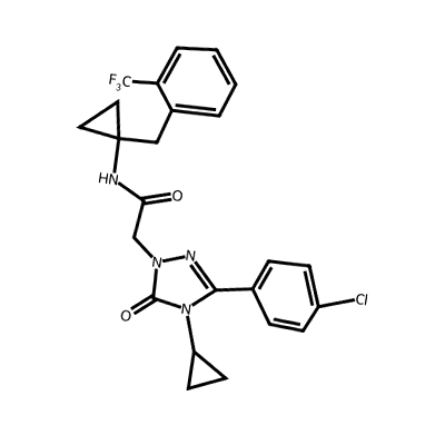 O=C(Cn1nc(-c2ccc(Cl)cc2)n(C2CC2)c1=O)NC1(Cc2ccccc2C(F)(F)F)CC1